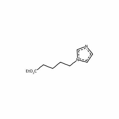 CCOC(=O)CCCCn1ccnc1